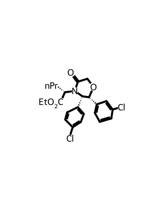 CCC[C@@H](C(=O)OCC)N1C(=O)CO[C@H](c2cccc(Cl)c2)[C@@H]1c1ccc(Cl)cc1